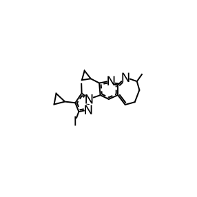 Cc1c(C2CC2)c(I)nn1-c1cc2c(nc1C1CC1)=NC(C)CCC=2